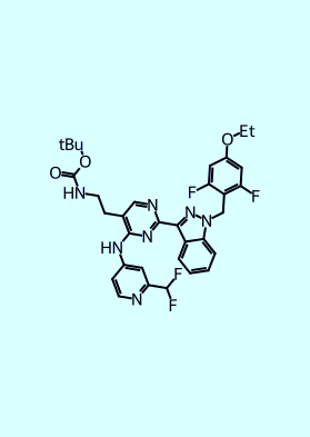 CCOc1cc(F)c(Cn2nc(-c3ncc(CCNC(=O)OC(C)(C)C)c(Nc4ccnc(C(F)F)c4)n3)c3ccccc32)c(F)c1